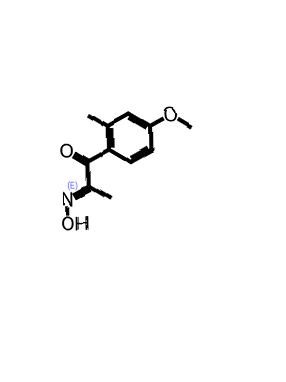 COc1ccc(C(=O)/C(C)=N/O)c(C)c1